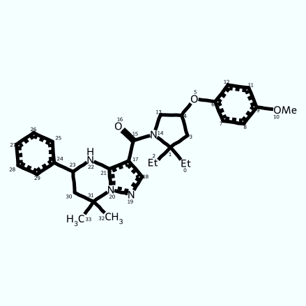 CCC1(CC)CC(Oc2ccc(OC)cc2)CN1C(=O)c1cnn2c1NC(c1ccccc1)CC2(C)C